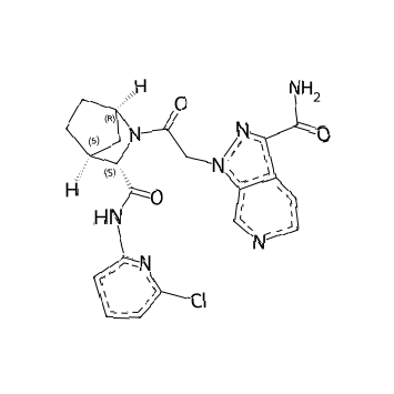 NC(=O)c1nn(CC(=O)N2[C@@H]3CC[C@@H](C3)[C@H]2C(=O)Nc2cccc(Cl)n2)c2cnccc12